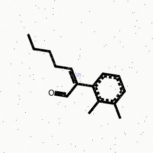 CCCC/C=C(\C=O)c1cccc(C)c1C